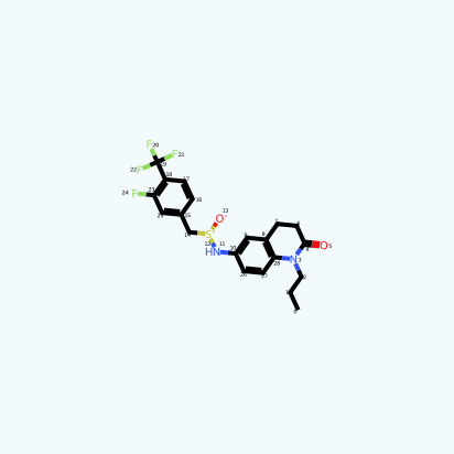 CCCN1C(=O)CCc2cc(N[S+]([O-])Cc3ccc(C(F)(F)F)c(F)c3)ccc21